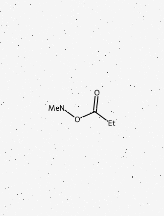 CCC(=O)ONC